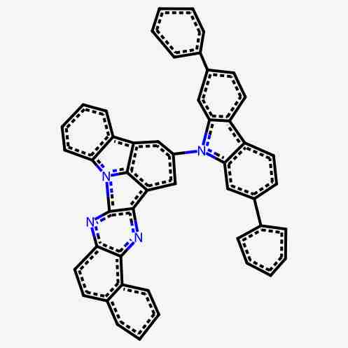 c1ccc(-c2ccc3c4ccc(-c5ccccc5)cc4n(-c4cc5c6ccccc6n6c7nc8ccc9ccccc9c8nc7c(c4)c56)c3c2)cc1